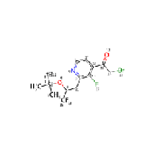 CC(C)(C)[Si](C)(C)OC(Cc1nccc(C(=O)CBr)c1F)C(F)(F)F